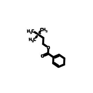 C[N+](C)(C)CCOC(=O)C1=CCCC=C1